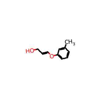 Cc1cccc(O/C=C/CO)c1